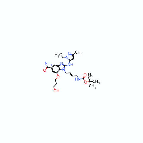 CCn1nc(C)cc1Nc1nc2cc(C(N)=O)cc(OCCCO)c2n1C/C=C/CNC(=O)OC(C)(C)C